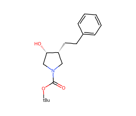 CC(C)(C)OC(=O)N1C[C@@H](CCc2ccccc2)[C@@H](O)C1